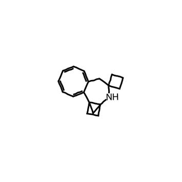 C1=C\C=C2\CC3(CCC3)NC34CCC3(C4)\C2=C\C=C/1